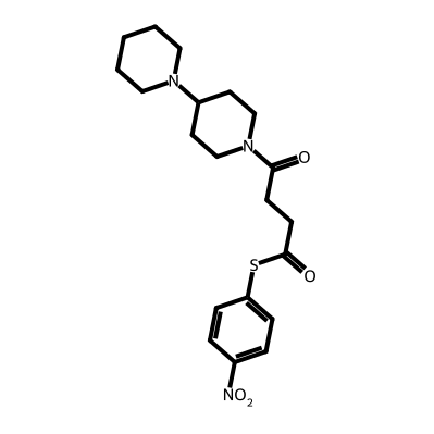 O=C(CCC(=O)N1CCC(N2CCCCC2)CC1)Sc1ccc([N+](=O)[O-])cc1